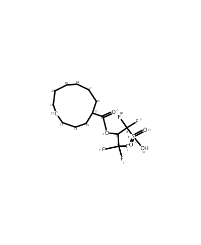 O=C(OC(C(F)(F)F)C(F)(F)S(=O)(=O)O)C1CCCCCCCCCC1